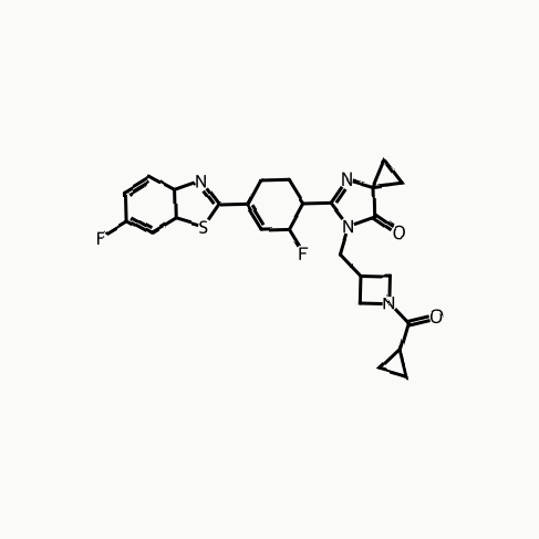 O=C(C1CC1)N1CC(CN2C(=O)C3(CC3)N=C2C2CCC(C3=NC4C=CC(F)=CC4S3)=CC2F)C1